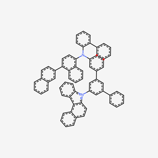 c1ccc(-c2cc(-c3cccc(N(c4ccccc4-c4ccccc4)c4ccc(-c5ccc6ccccc6c5)c5ccccc45)c3)cc(-n3c4ccccc4c4c5ccccc5ccc43)c2)cc1